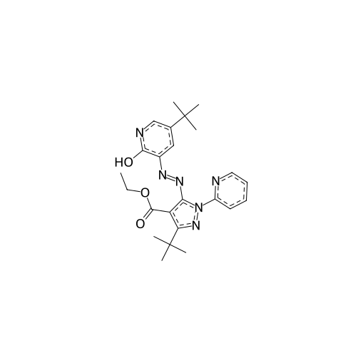 CCOC(=O)c1c(C(C)(C)C)nn(-c2ccccn2)c1/N=N/c1cc(C(C)(C)C)cnc1O